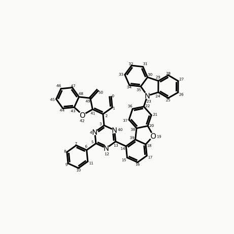 C=C/C(c1nc(-c2ccccc2)nc(-c2cccc3oc4cc(-n5c6ccccc6c6ccccc65)ccc4c23)n1)=c1/oc2ccccc2c1=C